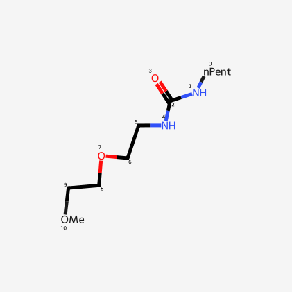 CCCCCNC(=O)NCCOCCOC